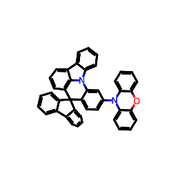 c1ccc2c(c1)Oc1ccccc1N2c1ccc2c(c1)-n1c3ccccc3c3cccc(c31)C21c2ccccc2-c2ccccc21